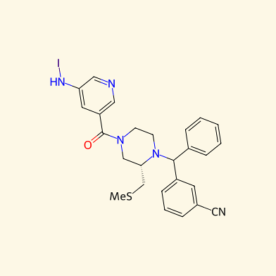 CSC[C@@H]1CN(C(=O)c2cncc(NI)c2)CCN1C(c1ccccc1)c1cccc(C#N)c1